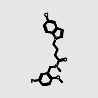 COc1ccc(F)cc1CN(C)C(=O)CCCn1ccc2cc(Cl)ccc21